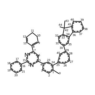 Cc1ccc(-c2cc(C3=CCCC=C3)nc(-c3ccccc3)n2)cc1-c1cccc(-c2ccc3c(c2)-c2ccccc2C3(C)C)c1